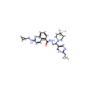 CCc1ncc(C(CNC(=O)c2cccc3nc(NCC4CC4)ccc23)N2CCC(F)(F)CC2)cn1